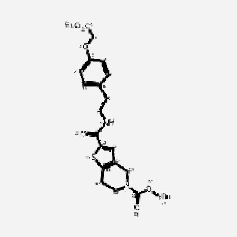 CCOC(=O)COc1ccc(CCNC(=O)c2cc3c(s2)CCN(C(=O)OC(C)(C)C)C3)cc1